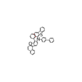 c1ccc(-c2ccc(N(c3ccc4c(oc5ccc6ccccc6c54)c3-c3ccccc3)c3cccc4c3sc3ccccc34)cc2)cc1